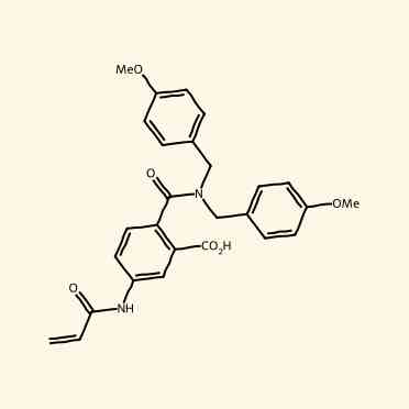 C=CC(=O)Nc1ccc(C(=O)N(Cc2ccc(OC)cc2)Cc2ccc(OC)cc2)c(C(=O)O)c1